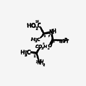 CC(N)C(=O)O.CCCC(=O)NC(C)C(=O)O